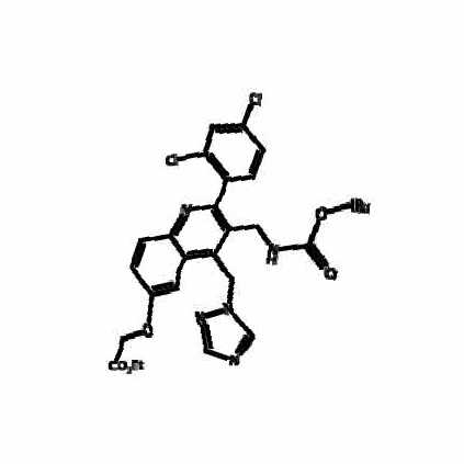 CCOC(=O)COc1ccc2nc(-c3ccc(Cl)cc3Cl)c(CNC(=O)OC(C)(C)C)c(Cn3cncn3)c2c1